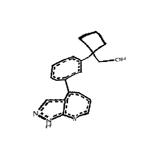 OCC1(c2cccc(-c3ccnc4[nH]ncc34)c2)CCC1